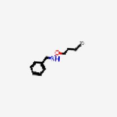 CC(C)CCCONCc1ccccc1